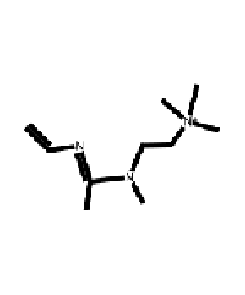 C=C/N=C(\C)N(C)CC[N+](C)(C)C